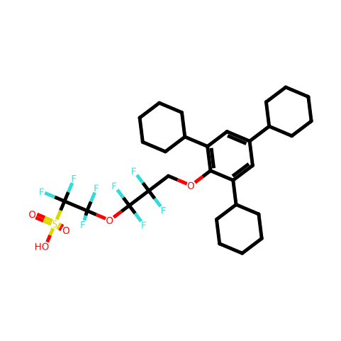 O=S(=O)(O)C(F)(F)C(F)(F)OC(F)(F)C(F)(F)COc1c(C2CCCCC2)cc(C2CCCCC2)cc1C1CCCCC1